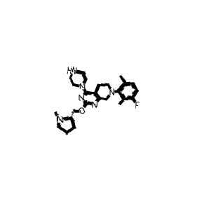 Cc1ccc(F)c(C)c1N1CCc2c(nc(OC[C@@H]3CCCN3C)nc2N2CCNCC2)C1